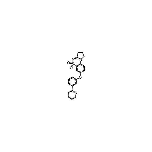 O=S1(=O)N=C2CCCN2c2ccc(Oc3cccc(-c4ccccn4)c3)cc21